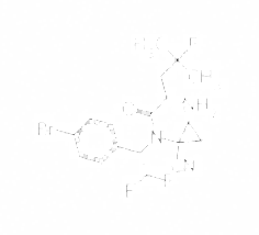 CC(C)(F)C[C@H](N)C(=O)N([C@@H](c1ccc(Br)cc1)C(F)F)C1(C#N)CC1